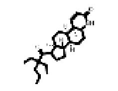 CCCC(CC)(CC)C(=O)C1CC[C@H]2[C@@H]3CCC4NC(=O)C=C[C@]4(C)[C@@H]3CC[C@]12C